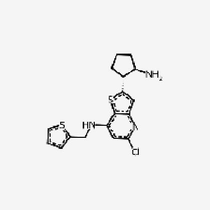 N[C@@H]1CCC[C@H]1c1cc2nc(Cl)cc(NCc3cccs3)c2s1